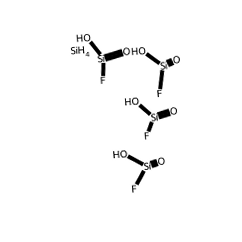 O=[Si](O)F.O=[Si](O)F.O=[Si](O)F.O=[Si](O)F.[SiH4]